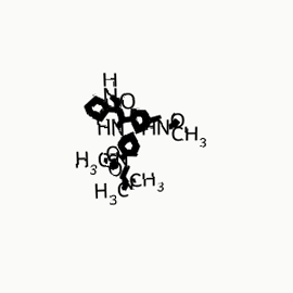 CC(=O)NCc1ccc(C(Nc2cccc(N(CCN(C)C)S(C)(=O)=O)c2)=C2C(=O)Nc3ccccc32)cc1